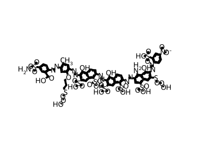 Cc1cc(N=Nc2c(S(=O)(=O)O)cc3c(S(=O)(=O)O)c(N=Nc4c(S(=O)(=O)O)cc5c(S(=O)(=O)O)c(N=Nc6cc(S(=O)(=O)O)c7cc(SOOO)c(N=Nc8ccc([N+](=O)[O-])cc8S(=O)(=O)O)c(O)c7c6N)ccc5c4O)ccc3c2O)c(OCCCSOOO)cc1N=Nc1ccc(S(=O)(=O)ON)cc1C(=O)O